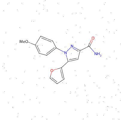 COc1ccc(-n2nc(C(N)=O)cc2-c2ccco2)cc1